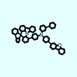 c1ccc(-c2cccc(N(c3ccc(-c4ccc5c(c4)oc4ccccc45)cc3)c3ccc(-c4cccc5c4-n4c6ccccc6c6cccc(c64)C54c5ccccc5-c5ccccc54)cc3)c2)cc1